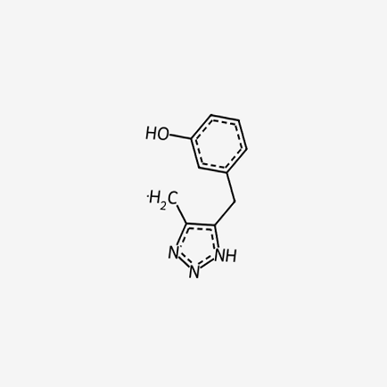 [CH2]c1nn[nH]c1Cc1cccc(O)c1